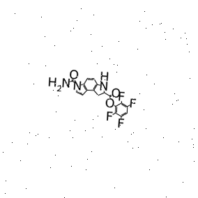 NC(=O)n1ccc2c3c(ccc21)NC(C(=O)Oc1c(F)c(F)cc(F)c1F)C3